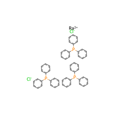 [Cl-].[Cl-].[Ra+2].c1ccc(P(c2ccccc2)c2ccccc2)cc1.c1ccc(P(c2ccccc2)c2ccccc2)cc1.c1ccc(P(c2ccccc2)c2ccccc2)cc1